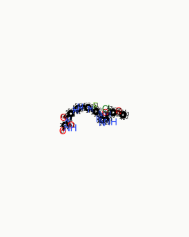 O=C1CCC(N2Cc3cc(N4CCN(CC5CCN(c6ccc(Nc7ncnc8[nH]cc(C(=O)c9ccc(Oc%10ccccc%10)cc9Cl)c78)cc6F)CC5)CC4)ccc3C2=O)C(=O)N1